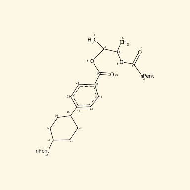 CCCCCC(=O)OC(C)C(C)OC(=O)c1ccc(C2CCC(CCCCC)CC2)cc1